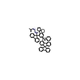 C=C(C)/C=C\C=C(/C)C1(c2cc(N(c3ccccc3)c3cccc4c3-c3ccccc3C43c4ccccc4-c4ccccc43)cc3oc4c(c23)CC=C4)c2ccccc2-c2ccccc21